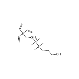 C=C[Si](C=C)(C=C)C[SiH2]C(C)(C)[Si](C)(C)CCCO